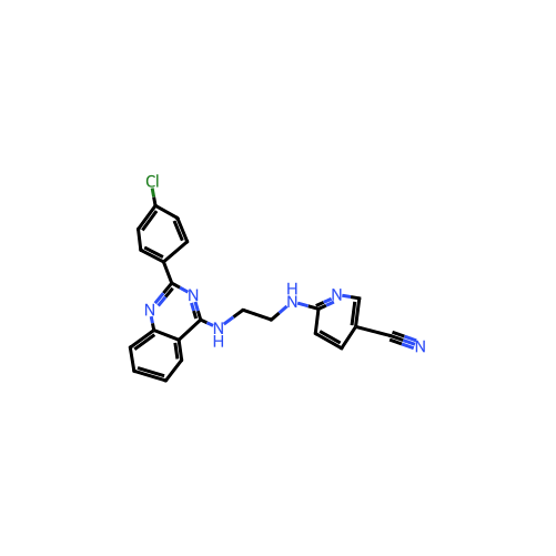 N#Cc1ccc(NCCNc2nc(-c3ccc(Cl)cc3)nc3ccccc23)nc1